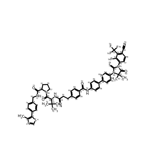 Cc1ncsc1-c1ccc(CNC(=O)C2CCCN2C(=O)[C@@H](NC(=O)CCc2ccc(C(=O)Nc3ccc(-c4ccc(N5C(=S)N(c6ccc(C#N)c(C(F)(F)F)c6F)C(=O)C5(C)C)cn4)cc3)cc2)C(C)(C)C)cc1